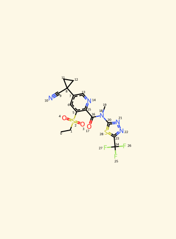 CCS(=O)(=O)c1cc(C2(C#N)CC2)cnc1C(=O)N(C)c1nnc(C(F)(F)F)s1